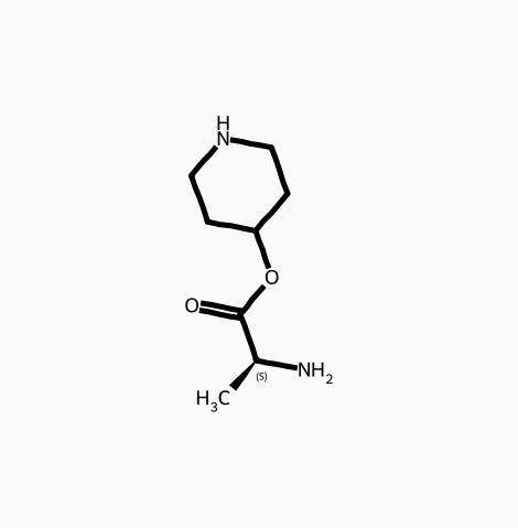 C[C@H](N)C(=O)OC1CCNCC1